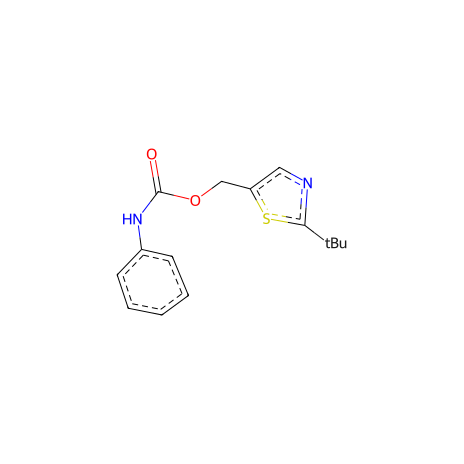 CC(C)(C)c1ncc(COC(=O)Nc2ccccc2)s1